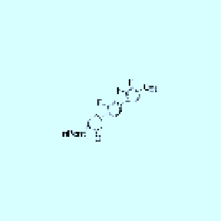 CCCCC[C@@H]1CCC(c2ccc(-c3ccc(OCC)c(F)c3F)cc2F)CC1=O